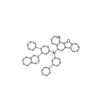 c1ccc(-c2cccc(N(c3ccc(-c4ccccc4)c(-c4ccc5ccccc5c4)c3)c3cc4c5ccccc5oc4c4ncccc34)c2)cc1